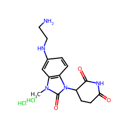 Cl.Cl.Cn1c(=O)n(C2CCC(=O)NC2=O)c2ccc(NCCN)cc21